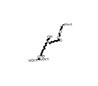 CCCCCCCCC(CCCCCCCC)OC(=O)CCCCCCCN(CCO)CCCCCC(=O)OCCOCCOCCCCC